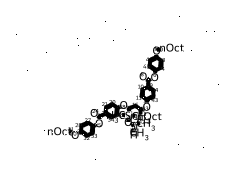 CCCCCCCCOc1ccc(OC(=O)c2ccc(OC(CCCCCCCC)CC(Oc3ccc(C(=O)Oc4ccc(OCCCCCCCC)cc4)cc3)[Si](C)(C)O[SiH](C)C)cc2)cc1